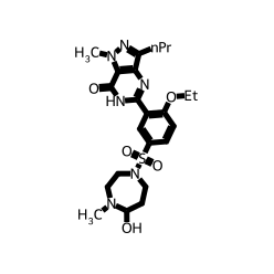 CCCc1nn(C)c2c(=O)[nH]c(-c3cc(S(=O)(=O)N4CCC(O)N(C)CC4)ccc3OCC)nc12